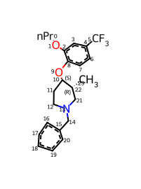 CCCOc1cc(C(F)(F)F)ccc1O[C@H]1CCN(Cc2ccccc2)C[C@H]1C